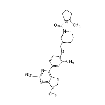 Cc1cc(-c2nc(C#N)nc3c2ccn3C)ccc1OCC1CCCN(C(=O)[C@@H]2CCCN2C)C1